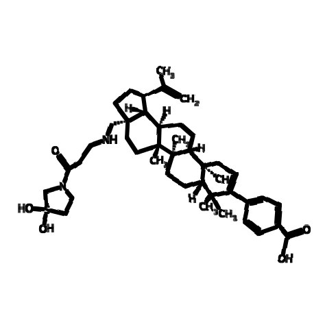 C=C(C)[C@@H]1CC[C@]2(CNCCC(=O)N3CCS(O)(O)C3)CC[C@]3(C)[C@H](CC[C@@H]4[C@@]5(C)CC=C(c6ccc(C(=O)O)cc6)C(C)(C)[C@@H]5CC[C@]43C)[C@@H]12